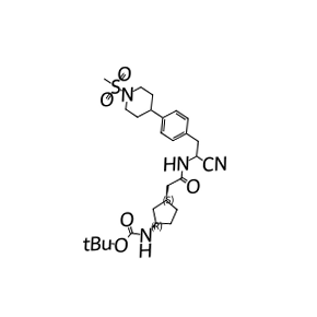 CC(C)(C)OC(=O)N[C@@H]1CC[C@H](CC(=O)NC(C#N)Cc2ccc(C3CCN(S(C)(=O)=O)CC3)cc2)C1